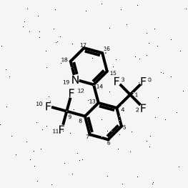 FC(F)(F)c1cccc(C(F)(F)F)c1-c1c[c]ccn1